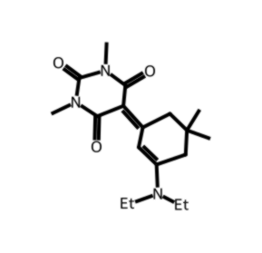 CCN(CC)C1=CC(=C2C(=O)N(C)C(=O)N(C)C2=O)CC(C)(C)C1